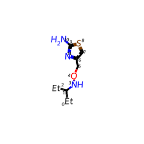 CCC(CC)NOCc1csc(N)n1